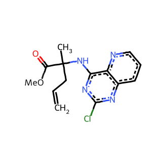 C=CCC(C)(Nc1nc(Cl)nc2cccnc12)C(=O)OC